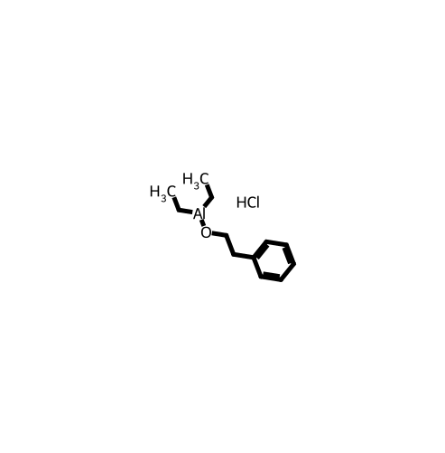 C[CH2][Al]([CH2]C)[O]CCc1ccccc1.Cl